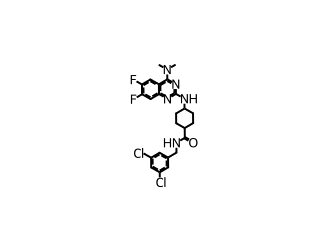 CN(C)c1nc(NC2CCC(C(=O)NCc3cc(Cl)cc(Cl)c3)CC2)nc2cc(F)c(F)cc12